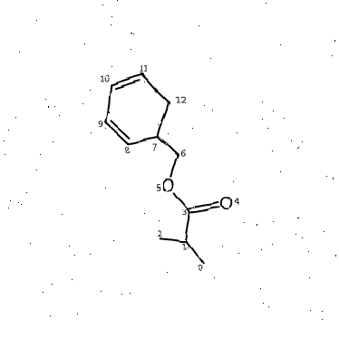 CC(C)C(=O)OCC1C=CC=CC1